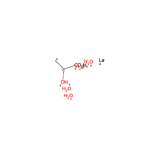 CC(O)C(=O)O.O.O.O.O.[La]